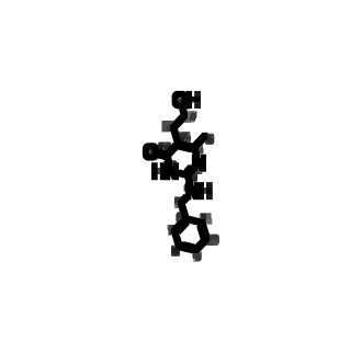 Cc1nc(NCc2ccccc2)[nH]c(=O)c1CCO